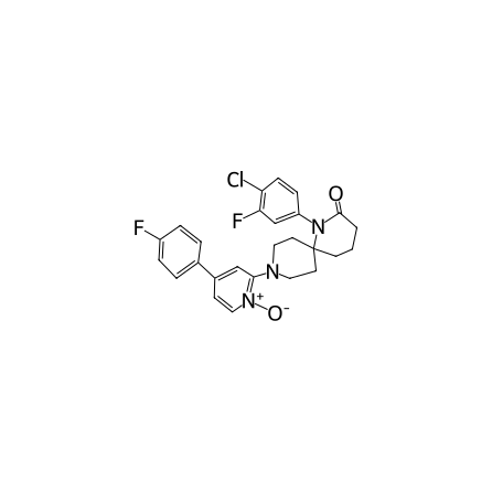 O=C1CCCC2(CCN(c3cc(-c4ccc(F)cc4)cc[n+]3[O-])CC2)N1c1ccc(Cl)c(F)c1